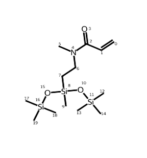 C=CC(=O)N(C)CC[Si](C)(O[Si](C)(C)C)O[Si](C)(C)C